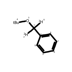 [2H]C([2H])(OC(C)(C)C)c1ccccc1